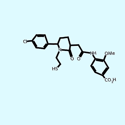 COc1cc(C(=O)O)ccc1NC(=O)CC1CCC(c2ccc(Cl)cc2)N(CCS)C1=O